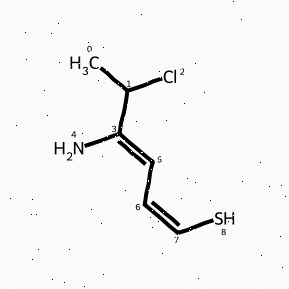 CC(Cl)/C(N)=C/C=C\S